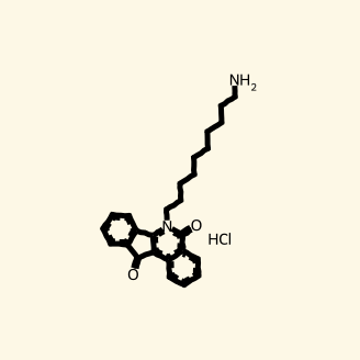 Cl.NCCCCCCCCCCn1c2c(c3ccccc3c1=O)C(=O)c1ccccc1-2